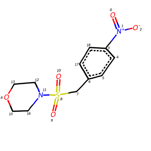 O=[N+]([O-])c1ccc(CS(=O)(=O)N2CCOCC2)cc1